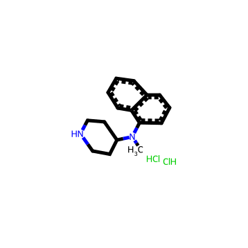 CN(c1cccc2ccccc12)C1CCNCC1.Cl.Cl